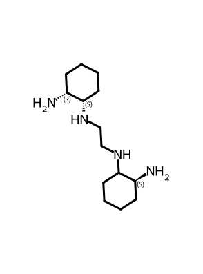 N[C@@H]1CCCC[C@@H]1NCCNC1CCCC[C@@H]1N